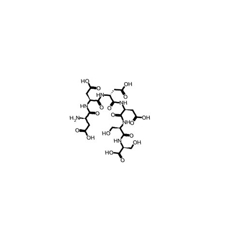 N[C@H](CC(=O)O)C(=O)N[C@@H](CC(=O)O)C(=O)N[C@H](CC(=O)O)C(=O)N[C@@H](CC(=O)O)C(=O)N[C@H](CO)C(=O)N[C@@H](CO)C(=O)O